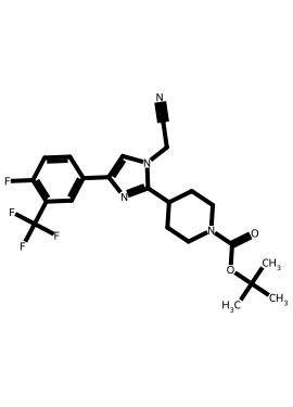 CC(C)(C)OC(=O)N1CCC(c2nc(-c3ccc(F)c(C(F)(F)F)c3)cn2CC#N)CC1